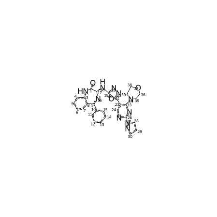 O=C1Nc2ccccc2C(c2ccccc2)=N[C@@H]1Nc1nnc(-c2cnc(-n3cccn3)nc2N2CCOCC2)o1